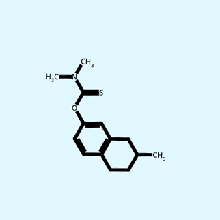 CC1CCc2ccc(OC(=S)N(C)C)cc2C1